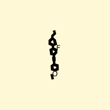 CCCc1ccc(-c2ccc(C#Cc3ccc(OCC)cc3)cc2F)cc1